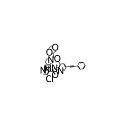 Cc1cc(C#Cc2ccccc2)cnc1NC(=O)c1c(Cl)cnn1C1CCN(C(=O)C2COCCO2)C1